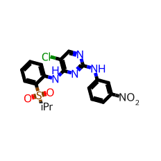 CC(C)S(=O)(=O)c1ccccc1Nc1nc(Nc2cccc([N+](=O)[O-])c2)ncc1Cl